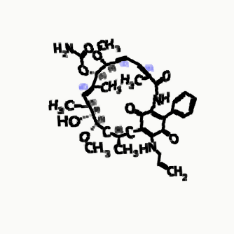 C=CCNC1=C2C[C@@H](C)C[C@H](OC)[C@H](O)[C@@H](C)/C=C(\C)[C@H](OC(N)=O)[C@@H](OC)/C=C\C=C(/C)C(=O)NC(=C(c3ccccc3)C1=O)C2=O